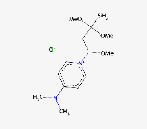 COC(CC([SiH3])(OC)OC)[n+]1ccc(N(C)C)cc1.[Cl-]